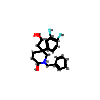 O=C1CCC(CCO)(c2ccc(F)c(F)c2)CN1Cc1ccccc1